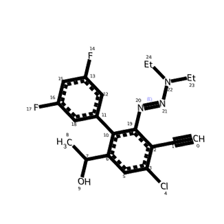 C#Cc1c(Cl)cc(C(C)O)c(-c2cc(F)cc(F)c2)c1/N=N/N(CC)CC